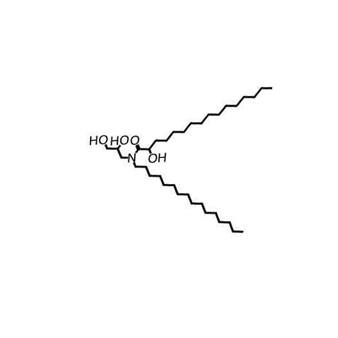 CCCCCCCCCCCCCCCCN(CC(O)CO)C(=O)C(O)CCCCCCCCCCCCCC